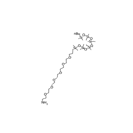 CCCC[Si](C)(C)O[Si](C)(C)O[Si](C)(C)O[Si](C)(C)O[Si](C)(C)O[Si](C)(C)CCCOCCOCCOCCOCCOCCOCCN